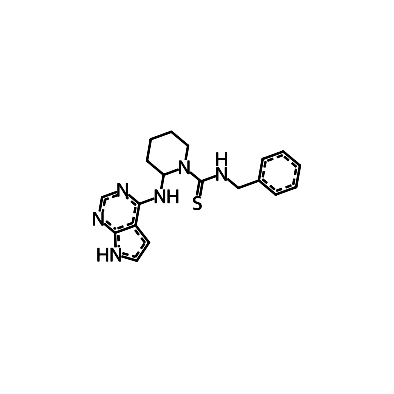 S=C(NCc1ccccc1)N1CCCCC1Nc1ncnc2[nH]ccc12